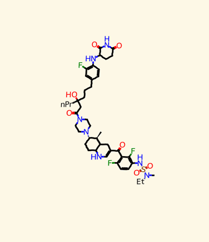 CCCC(O)(CCCc1ccc(NC2CCC(=O)NC2=O)c(F)c1)CC(=O)N1CCN([C@H]2CCC3NC=C(C(=O)c4c(F)ccc(NS(=O)(=O)N(C)CC)c4F)CC3[C@@H]2C)CC1